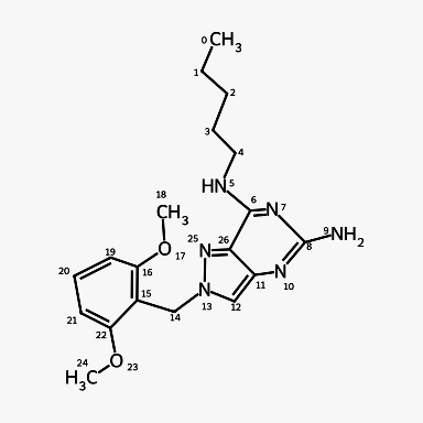 CCCCCNc1nc(N)nc2cn(Cc3c(OC)cccc3OC)nc12